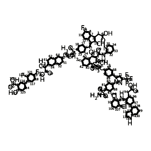 CC1=C(CC(=O)O)c2cc(F)ccc2/C1=C\c1ccc([S+](C)[O-])cc1.CN1C(C(=O)Nc2ccccn2)=C(O)c2ccccc2S1(=O)=O.COc1ccc2cc([C@H](C)C(=O)O)ccc2c1.Cc1ccc(-c2cc(C(F)(F)F)nn2-c2ccc(S(N)(=O)=O)cc2)cc1.O=C(O)Cc1ccccc1Nc1c(Cl)cccc1Cl.O=C(O)c1cc(-c2ccc(F)cc2F)ccc1O.c1ccc2[nH]ccc2c1